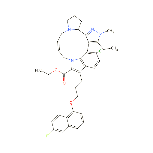 CCOC(=O)c1c(CCCOc2cccc3cc(F)ccc23)c2ccc(Cl)c3c2n1C/C=C\CN1CCCC1c1nn(C)c(CC)c1-3